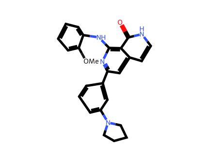 COc1ccccc1Nc1nc(-c2cccc(N3CCCC3)c2)cc2cc[nH]c(=O)c12